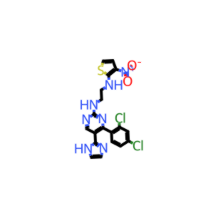 O=[N+]([O-])c1ccsc1NCCNc1ncc(-c2ncc[nH]2)c(-c2ccc(Cl)cc2Cl)n1